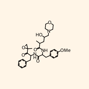 COc1ccc(CC(NC(=O)C(C)CC(O)CN2CCOCC2)C(=O)NC(Cc2ccccc2)C(=O)C2(C)CO2)cc1